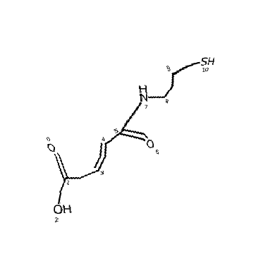 O=C(O)C=CC(=O)NCCS